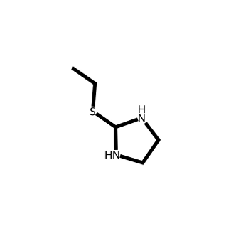 CCSC1NCCN1